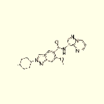 COc1cc2nn(C3CC[CH]CC3)cc2cc1C(=O)Nc1cnn2cccnc12